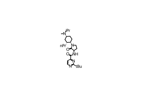 CCC[C@@H]1C[C@H](N(C)C(C)C)CC[C@@H]1N1CCC(NC(=O)c2ccnc(C(C)(C)C)n2)C1=O